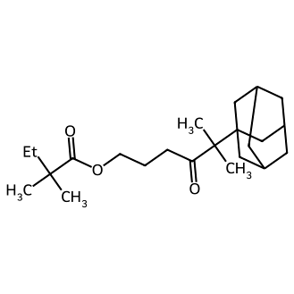 CCC(C)(C)C(=O)OCCCC(=O)C(C)(C)C12CC3CC(CC(C3)C1)C2